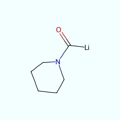 [Li][C](=O)N1CCCCC1